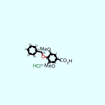 COc1cc(C(=O)O)cc(OC)c1OCc1ccccc1.Cl